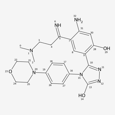 CN(C)CCC(=N)c1cc(-c2nnc(O)n2-c2ccc(N3CCOCC3)cc2)c(O)cc1N